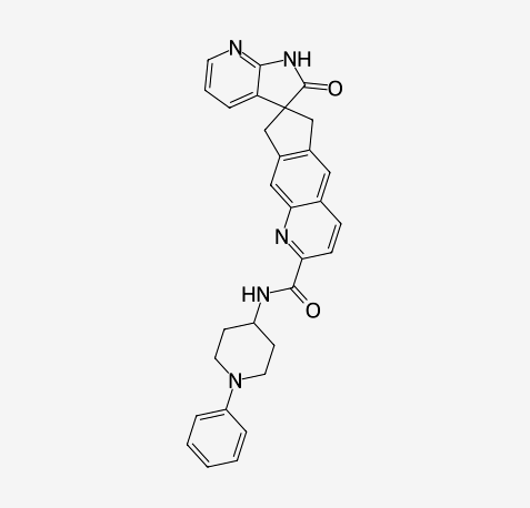 O=C(NC1CCN(c2ccccc2)CC1)c1ccc2cc3c(cc2n1)CC1(C3)C(=O)Nc2ncccc21